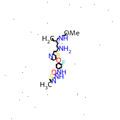 C=C/C(=C\C=C(/N)c1cc2nccc(Oc3ccc(NC(=O)Nc4nc(C)cs4)cc3F)c2s1)CNCCOC